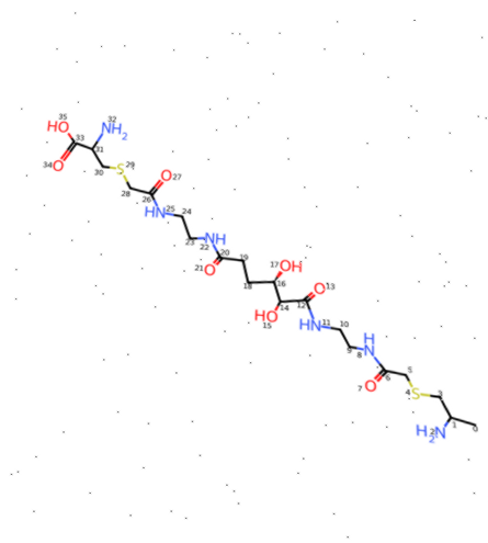 CC(N)CSCC(=O)NCCNC(=O)C(O)[C@H](O)CCC(=O)NCCNC(=O)CSCC(N)C(=O)O